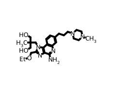 CCOCc1nc2c(N)nc3cc(CCCN4CCN(C)CC4)ccc3c2n1CC(C)(CO)CO